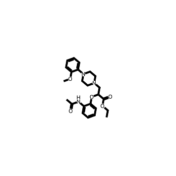 CCOC(=O)C(CN1CCN(c2ccccc2OC)CC1)Oc1ccccc1NC(C)=O